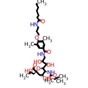 C=CCCCCC(=O)NCCCOc1c(C)cc(C(=O)NC[C@@H](O)[C@@H](O)[C@@H]2O[C@@](CC=C)(C(=O)O)C[C@H](O)[C@H]2NC(=O)OC(C)(C)C)cc1C